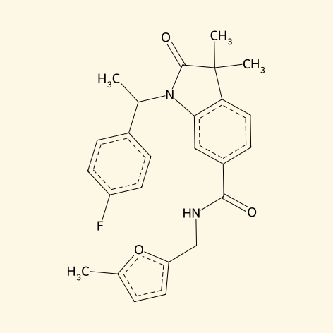 Cc1ccc(CNC(=O)c2ccc3c(c2)N(C(C)c2ccc(F)cc2)C(=O)C3(C)C)o1